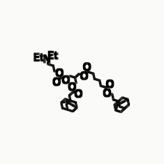 CCN(CC)CCCOC(=O)OCC(COC(=O)CCCCC(=O)OCCC12CC3CC(CC(C3)C1)C2)COC(=O)CC12CC3CC(CC(C3)C1)C2